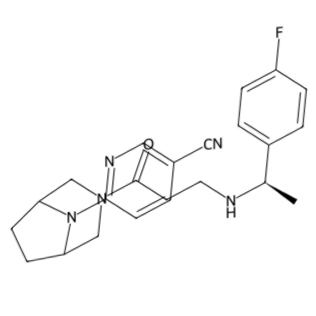 C[C@@H](NCCC(=O)N1CC2CCC(C1)N2c1ccc(C#N)cn1)c1ccc(F)cc1